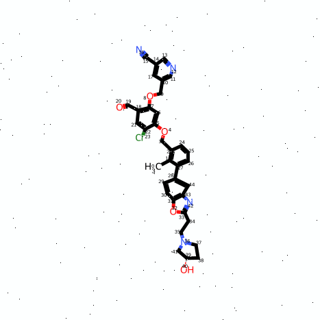 Cc1c(COc2cc(OCc3cncc(C#N)c3)c(C=O)cc2Cl)cccc1-c1ccc2oc(CCN3CC[C@H](O)C3)nc2c1